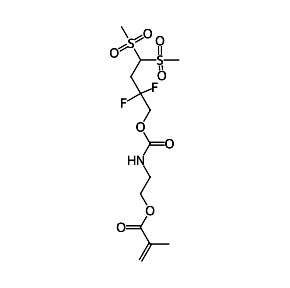 C=C(C)C(=O)OCCNC(=O)OCC(F)(F)CC(S(C)(=O)=O)S(C)(=O)=O